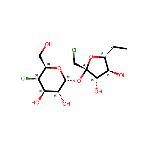 CC[C@H]1O[C@@](CCl)(O[C@H]2O[C@H](CO)[C@H](Cl)[C@H](O)[C@H]2O)[C@@H](O)[C@@H]1O